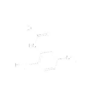 CCC(=O)Nc1cc([N+](=O)[O-])ccc1C(=O)O